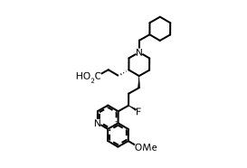 COc1ccc2nccc([C@H](F)CC[C@@H]3CCN(CC4CCCCC4)C[C@H]3CCC(=O)O)c2c1